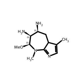 CO[C@H]1[C@@H](N)[C@@H](N)CC2C(C)=CN=C2N1C